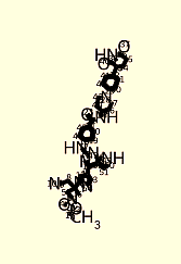 CCS(=O)(=O)N1CC(CC#N)(n2cc(-c3nc(Nc4ccc(C(=O)NC5CCN(c6ccc(C7CCC(=O)NC7=O)cc6)CC5)cc4)nc4[nH]ccc34)cn2)C1